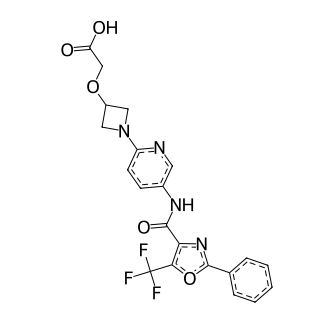 O=C(O)COC1CN(c2ccc(NC(=O)c3nc(-c4ccccc4)oc3C(F)(F)F)cn2)C1